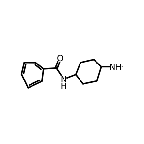 [NH]C1CCC(NC(=O)c2ccccc2)CC1